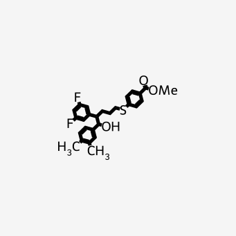 COC(=O)c1ccc(SCCCC(c2cc(F)cc(F)c2)C(O)c2ccc(C)c(C)c2)cc1